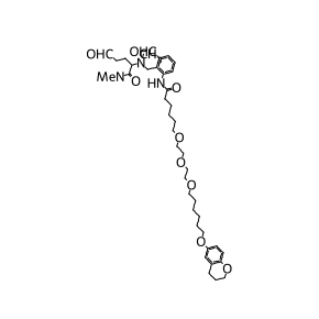 CNC(=O)C(CCC=O)N(C)Cc1c(C=O)cccc1NC(=O)CCCCCOCCOCCOCCCCCCOc1ccc2c(c1)CCCO2